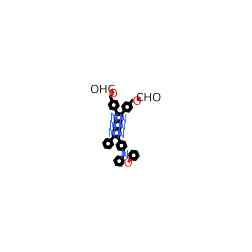 O=COCc1ccc(-c2nc3nc4nc(-c5ccccc5)c(-c5ccc(N6c7ccccc7Oc7ccccc76)cc5)nc4nc3nc2-c2ccc(COC=O)cc2)cc1